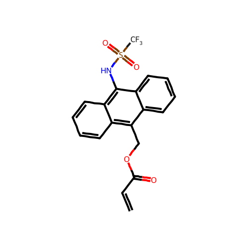 C=CC(=O)OCc1c2ccccc2c(NS(=O)(=O)C(F)(F)F)c2ccccc12